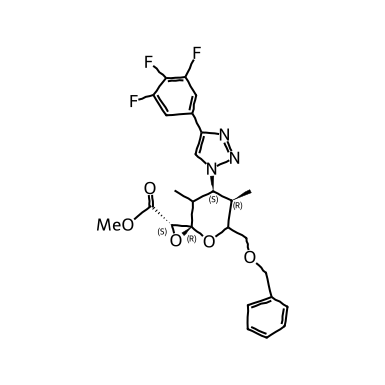 COC(=O)[C@H]1O[C@@]12OC(COCc1ccccc1)[C@H](C)[C@H](n1cc(-c3cc(F)c(F)c(F)c3)nn1)C2C